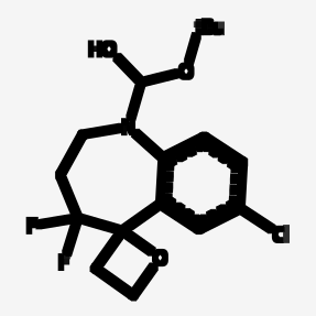 CC(C)(C)OC(O)N1CCC(F)(F)C2(CCO2)c2cc(Cl)ccc21